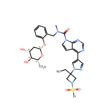 CCS(=O)(=O)N1CC(CC#N)(n2cc(-c3ncnc4c3ccn4C(=O)N(C)Cc3ccccc3O[C@H]3C[C@@H](O)[C@H](O)[C@@H](C(=O)O)O3)cn2)C1